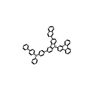 c1ccc(-c2ccc(N(c3ccccc3)c3ccc(-c4ccc5c(c4)c4cc(-c6ccc7ccccc7c6)ccc4n5-c4ccc5c6ccccc6c6ccccc6c5c4)cc3)cc2)cc1